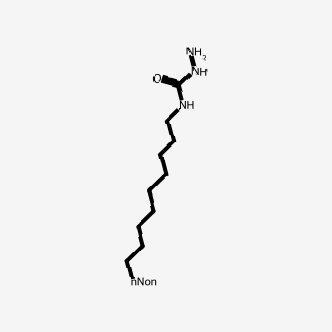 CCCCCCCCCCCCCCCCCCNC(=O)NN